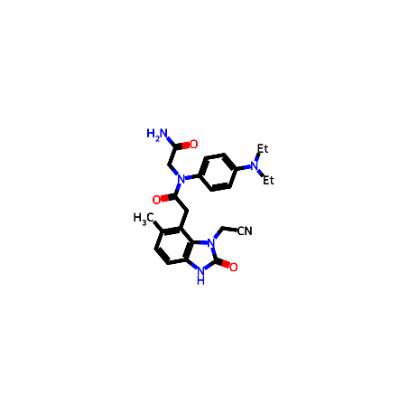 CCN(CC)c1ccc(N(CC(N)=O)C(=O)Cc2c(C)ccc3[nH]c(=O)n(CC#N)c23)cc1